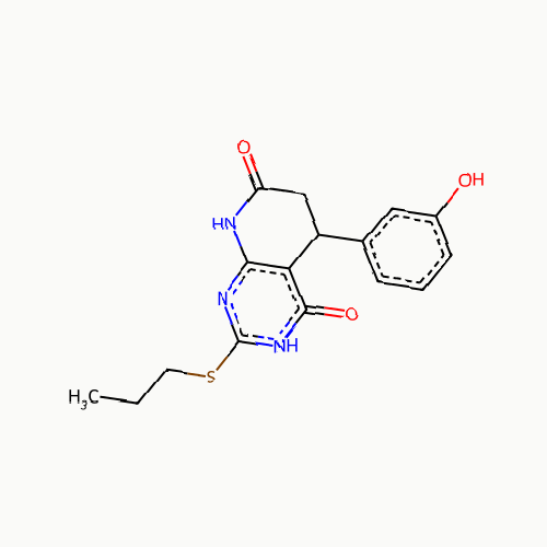 CCCSc1nc2c(c(=O)[nH]1)C(c1cccc(O)c1)CC(=O)N2